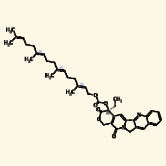 CC[C@@]1(OC(=O)OC/C=C(\C)CC/C=C(\C)CC/C=C(\C)CCC=C(C)C)C(=O)OCc2c1cc1n(c2=O)Cc2cc3ccccc3nc2-1